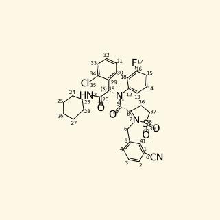 N#Cc1cccc(CN2[C@H](C(=O)N(c3cccc(F)c3)[C@H](C(=O)NC3CCCCC3)c3ccccc3Cl)CCS2(=O)=O)c1